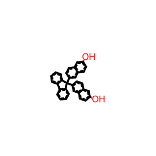 Oc1ccc2cc(C3(c4ccc5cc(O)ccc5c4)c4ccccc4-c4ccccc43)ccc2c1